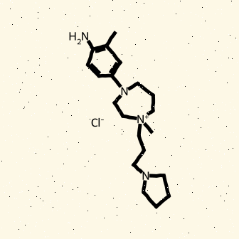 Cc1cc(N2CCC[N+](C)(CCCN3CCCC3)CC2)ccc1N.[Cl-]